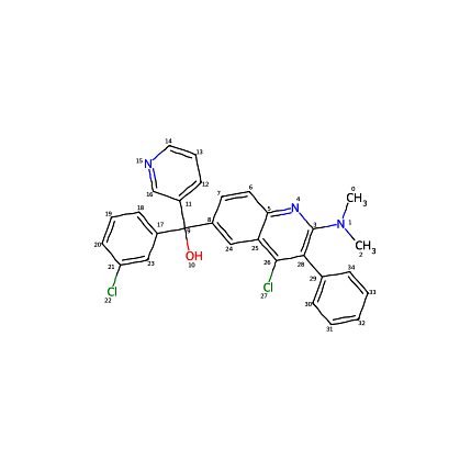 CN(C)c1nc2ccc(C(O)(c3cccnc3)c3cccc(Cl)c3)cc2c(Cl)c1-c1ccccc1